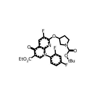 CCOC(=O)c1cn(-c2ccc(F)cc2F)c2nc(OC3CCN(C(=O)OC(C)(C)C)C3)c(F)cc2c1=O